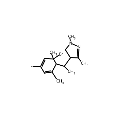 CC1=CC(F)=CC(C)(Br)C1C(C)C1CN(C)N=C1C